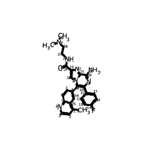 Cc1ccnc2ccc(-c3c(-c4ccc(F)cc4)nc(N)c4nc(C(=O)NCCN(C)C)cn34)cc12